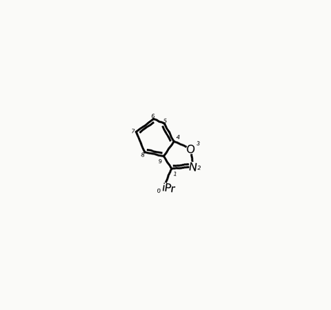 [CH2]C(C)c1noc2ccccc12